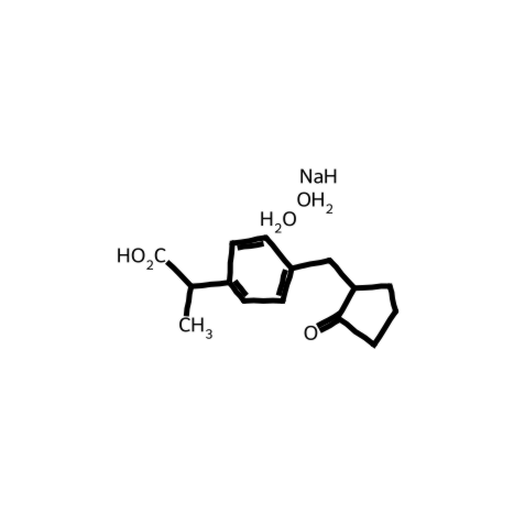 CC(C(=O)O)c1ccc(CC2CCCC2=O)cc1.O.O.[NaH]